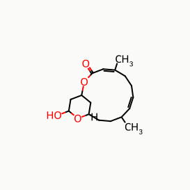 C/C1=C/C(=O)OC2CC(O)O[C@H](CCC(C)/C=C\CC1)C2